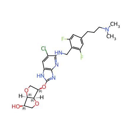 CN(C)CCCc1cc(F)c(CNc2nc3nc(O[C@@H]4CO[C@H]5[C@@H]4OC[C@H]5O)[nH]c3cc2Cl)c(F)c1